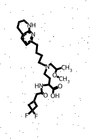 COC(C)CN(CCCCc1ccc2c(n1)NCCC2)CCC(NC(=O)CC1CC(F)(F)C1)C(=O)O